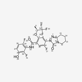 C[C@H](Oc1cc(-n2nc3n(c2=O)CCCC3)c(F)cc1C(=O)Nc1c(F)ccc(O)c1F)C(F)(F)F